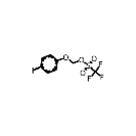 O=S(=O)(OCOc1ccc(I)cc1)C(F)(F)F